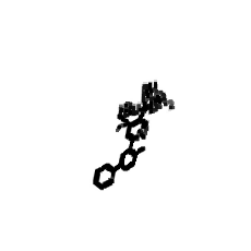 BC(B)(c1cnc(-c2cc(-c3ccccc3)ccc2C)cc1S(C)(C)C)C(C)(C)C